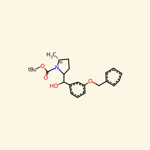 C[C@@H]1CCC(C(O)c2cccc(OCc3ccccc3)c2)N1C(=O)OC(C)(C)C